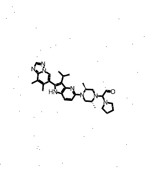 Cc1c(-c2[nH]c3ccc(N4C[C@@H](C)N(C(C=O)N5CCCC5)C[C@@H]4C)nc3c2C(C)C)cn2ncnc2c1C